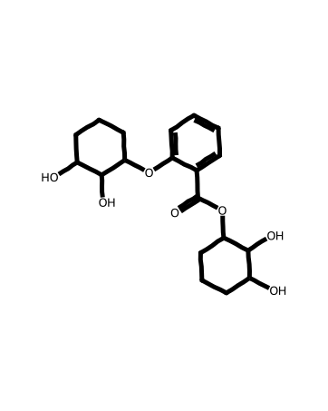 O=C(OC1CCCC(O)C1O)c1ccccc1OC1CCCC(O)C1O